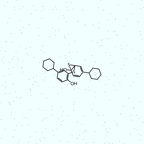 Oc1ccc(C2CCCCC2)cc1SC12C=C(C3CCCCC3)C=CC1(O)S2